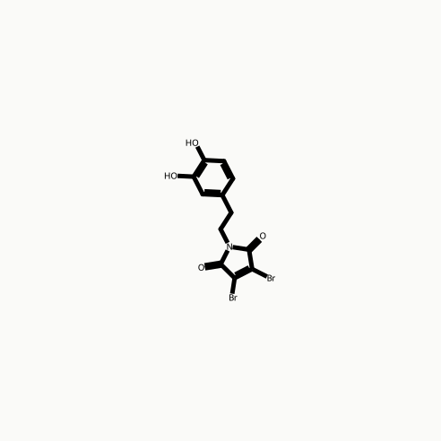 O=C1C(Br)=C(Br)C(=O)N1CCc1ccc(O)c(O)c1